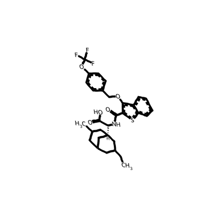 CCC1CC2CC(C)C[C@@](C(NC(=O)c3sc4ccccc4c3OCc3ccc(OC(F)(F)F)cc3)C(=O)O)(C1)C2